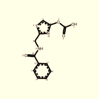 O=C(O)Oc1csc(CNC(=O)c2ccccc2)n1